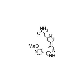 COc1cc(-c2c[nH]c3ncc(-c4ccnc(/C=C/C(N)=O)c4)cc23)ccn1